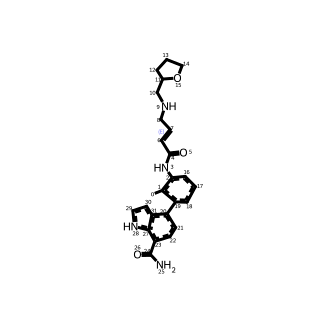 Cc1c(NC(=O)/C=C/CNCC2CCCO2)cccc1-c1ccc(C(N)=O)c2[nH]ccc12